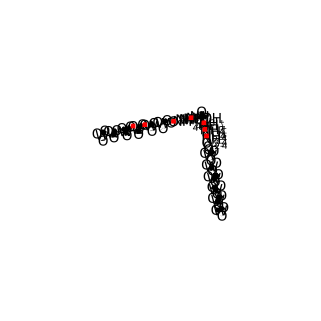 N.N.O=C(O)O.[NH4+].[NH4+].[NH4+].[NH4+].[NH4+].[NH4+].[NH4+].[NH4+].[NH4+].[NH4+].[O-2].[O-2].[O-2].[O-2].[O-2].[O]=[W](=[O])=[O].[O]=[W](=[O])=[O].[O]=[W](=[O])=[O].[O]=[W](=[O])=[O].[O]=[W](=[O])=[O].[O]=[W](=[O])=[O].[O]=[W](=[O])=[O].[O]=[W](=[O])=[O].[O]=[W](=[O])=[O].[O]=[W](=[O])=[O].[O]=[W](=[O])=[O].[O]=[W](=[O])=[O]